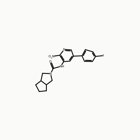 O=C(Nc1cc(-c2ccc(F)cc2)cnc1[N+](=O)[O-])N1CC2CCCC2C1